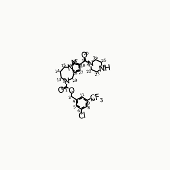 O=C(OCc1cc(Cl)cc(C(F)(F)F)c1)N1CCCn2nc(C(=O)N3CCNCC3)cc2C1